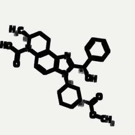 COC(=O)[C@@H]1CCC[C@@H](n2c([C@H](O)c3ccccc3)nc3c4c(ccc32)N(C(=O)O)[C@@H](C)CC4)C1